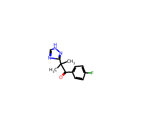 CC(C)(C(=O)c1ccc(F)cc1)c1nc[nH]n1